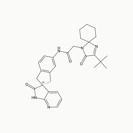 CC(C)(C)C1=NC2(CCCCC2)N(CC(=O)Nc2ccc3c(c2)C[C@@]2(C3)C(=O)Nc3ncccc32)C1=O